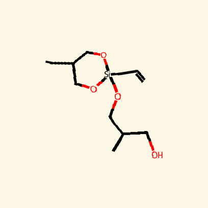 C=C[Si]1(OCC(C)CO)OCC(C)CO1